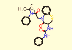 CC(C)N(C(=O)CN1C(=O)C(NC(=O)Nc2ccccc2)CSc2ccccc21)c1ccccc1